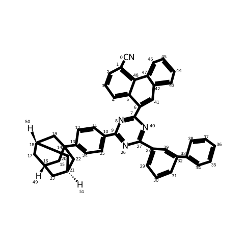 N#Cc1cccc2c(-c3nc(-c4ccc(C56C[C@H]7C[C@H](C5)C[C@@H](C6)C7)cc4)nc(-c4cccc(-c5ccccc5)c4)n3)cc3ccccc3c12